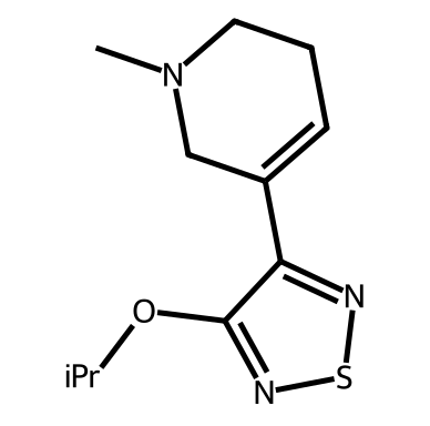 CC(C)Oc1nsnc1C1=CCCN(C)C1